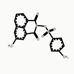 Cc1ccc(S(=O)(=O)ON2C(=O)c3cccc4cc(C)cc(c34)C2=O)cc1